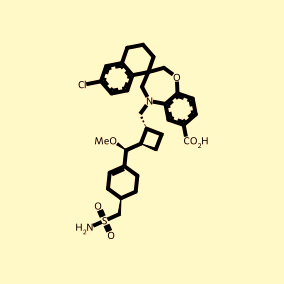 CO[C@H](C1=CC[C@H](CS(N)(=O)=O)CC1)[C@@H]1CC[C@H]1CN1CC2(CCCc3cc(Cl)ccc32)COc2ccc(C(=O)O)cc21